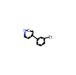 CCc1cccc(-c2ccncc2)c1